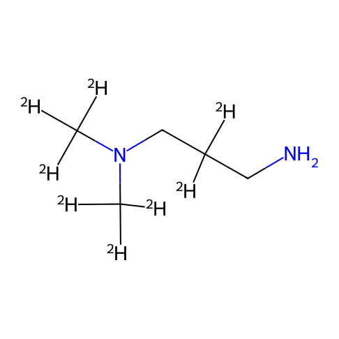 [2H]C([2H])(CN)CN(C([2H])([2H])[2H])C([2H])([2H])[2H]